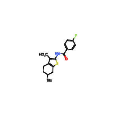 CC(C)(C)C1CCc2c(sc(NC(=O)c3ccc(F)cc3)c2C(=O)O)C1